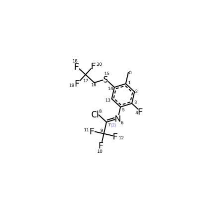 Cc1cc(F)c(/N=C(\Cl)C(F)(F)F)cc1SCC(F)(F)F